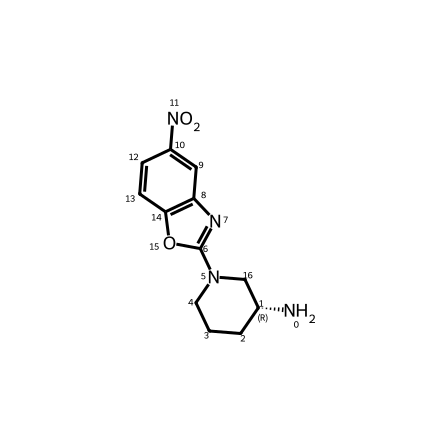 N[C@@H]1CCCN(c2nc3cc([N+](=O)[O-])ccc3o2)C1